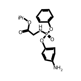 CC(C)OC(=O)CNP(=O)(Oc1ccccc1)Oc1ccc(N)cc1